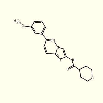 COc1cccc(-c2ccc3nc(NC(=O)C4CCOCC4)cn3n2)c1